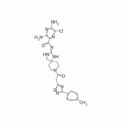 Cc1ccc(-c2noc(CC(=O)N3CCC4(CC3)CN/C(=N\C(=O)c3nc(Cl)c(N)nc3N)N4)n2)cc1